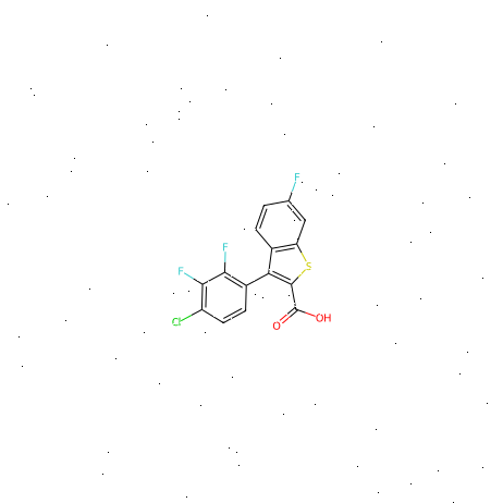 O=C(O)c1sc2cc(F)ccc2c1-c1ccc(Cl)c(F)c1F